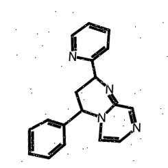 C1=CN2C(=NC(c3ccccn3)CC2c2ccccc2)C=N1